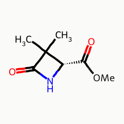 COC(=O)[C@@H]1NC(=O)C1(C)C